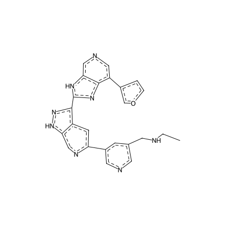 CCNCc1cncc(-c2cc3c(-c4nc5c(-c6ccoc6)cncc5[nH]4)n[nH]c3cn2)c1